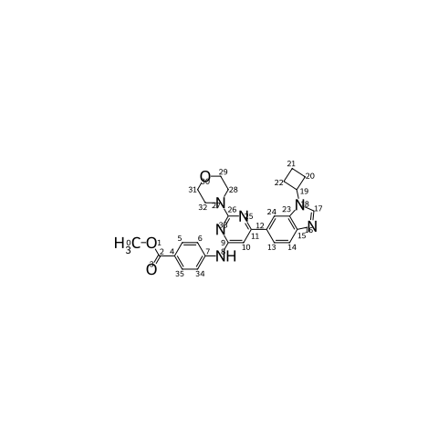 COC(=O)c1ccc(Nc2cc(-c3ccc4ncn(C5CCC5)c4c3)nc(N3CCOCC3)n2)cc1